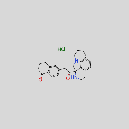 Cl.O=C1CCCc2cc(CC(=O)C3(CN4CCCCC4)NCCc4ccccc43)ccc21